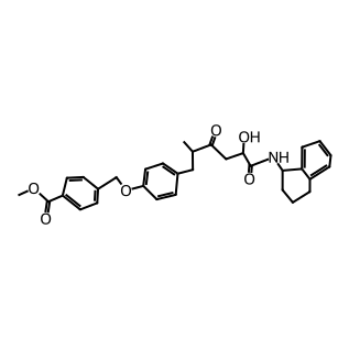 COC(=O)c1ccc(COc2ccc(CC(C)C(=O)CC(O)C(=O)NC3CCCc4ccccc43)cc2)cc1